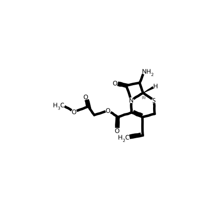 C=CC1=C(C(=O)OCC(=O)OC)N2C(=O)C(N)[C@@H]2SC1